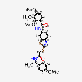 COc1ccc([C@H](C)NC(=O)CSc2nc3ccc(NC(=O)c4ccc(OCC(C)C)c(C)c4OC)cc3s2)cc1